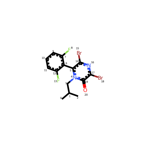 CC(C)Cn1c(-c2c(F)cccc2F)c(Br)nc(Br)c1=O